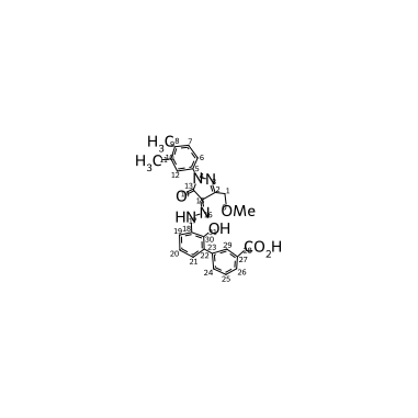 COCC1=NN(c2ccc(C)c(C)c2)C(=O)C1=NNc1cccc(-c2cccc(C(=O)O)c2)c1O